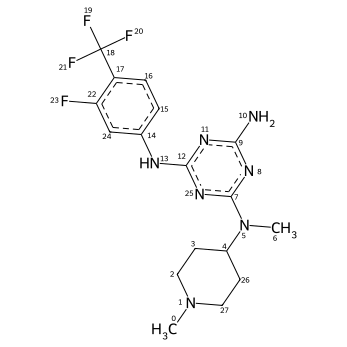 CN1CCC(N(C)c2nc(N)nc(Nc3ccc(C(F)(F)F)c(F)c3)n2)CC1